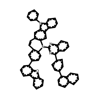 C1=Cc2cc3c(cc2N(c2nc(-c4ccc(-c5cccc6ccccc56)cc4)c4ccccc4n2)c2ccc(-c4cccc5c4oc4ccccc45)cc21)c1ccccc1n3-c1ccccc1